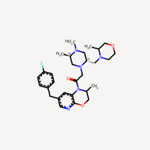 CC1COCCN1C[C@H]1CN(C(=O)O)[C@H](C)CN1CC(=O)N1c2cc(Cc3ccc(F)cc3)cnc2OCC1C